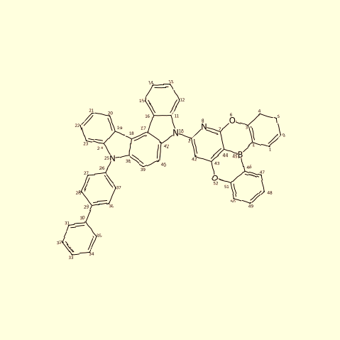 C1=CC2=C(CC1)Oc1nc(-n3c4ccccc4c4c5c6ccccc6n(-c6ccc(-c7ccccc7)cc6)c5ccc43)cc3c1B2c1ccccc1O3